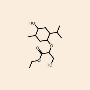 CCOC(=O)C(CO)OC1CC(C)C(O)CC1C(C)C